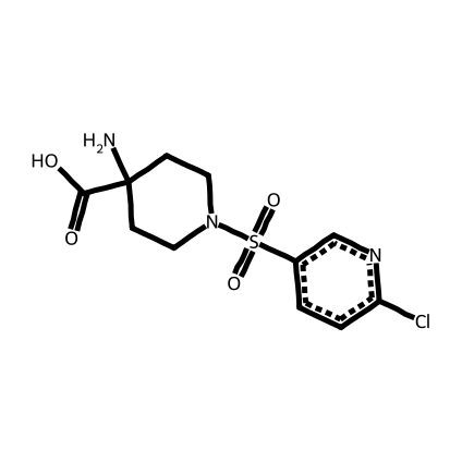 NC1(C(=O)O)CCN(S(=O)(=O)c2ccc(Cl)nc2)CC1